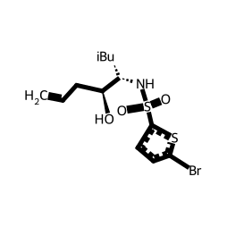 C=CC[C@H](O)[C@@H](NS(=O)(=O)c1ccc(Br)s1)[C@@H](C)CC